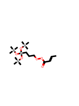 CC=CC(=O)OOCCC[Si](O[Si](C)(C)C)(O[Si](C)(C)C)O[Si](C)(C)C